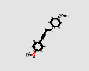 CCCCC[C@H]1CC[C@H](C=CC#Cc2ccc(OCC)cc2)CC1